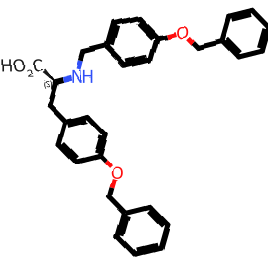 O=C(O)[C@H](Cc1ccc(OCc2ccccc2)cc1)NCc1ccc(OCc2ccccc2)cc1